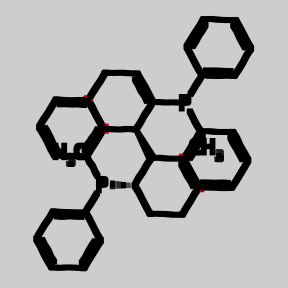 CC1=CCC[C@H](P(c2ccccc2)c2ccccc2)C1[C@@H]1C(P(c2ccccc2)c2ccccc2)=CCCC1C